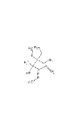 C=CC(=NC)C(C)(O)[Si](CC)(CC)CC